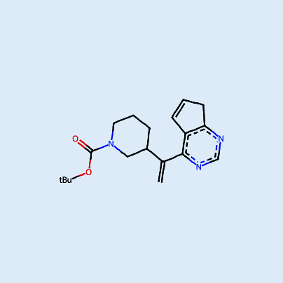 C=C(c1ncnc2c1C=CC2)C1CCCN(C(=O)OC(C)(C)C)C1